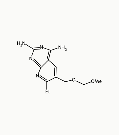 CCc1nc2nc(N)nc(N)c2cc1COCOC